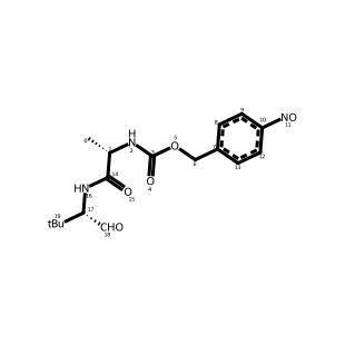 C[C@H](NC(=O)OCc1ccc(N=O)cc1)C(=O)N[C@H](C=O)C(C)(C)C